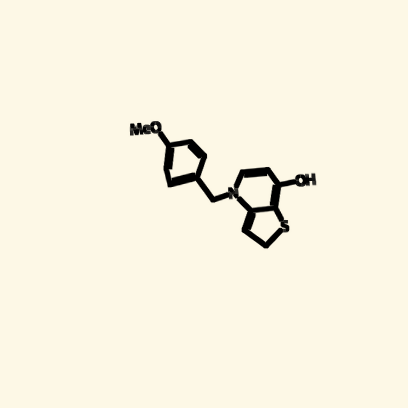 COc1ccc(CN2C=CC(O)=C3SCC=C32)cc1